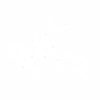 CC1CCC(CN(C)c2nc(-n3c(C(F)F)nc4ccccc43)c3ncn(C(C)CO)c3n2)O1